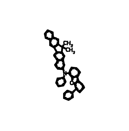 CC1(C)c2cc3ccccc3cc2-c2cc3ccc(N(c4ccccc4)c4cccc5c4oc4c(-c6ccccc6)cccc45)cc3cc21